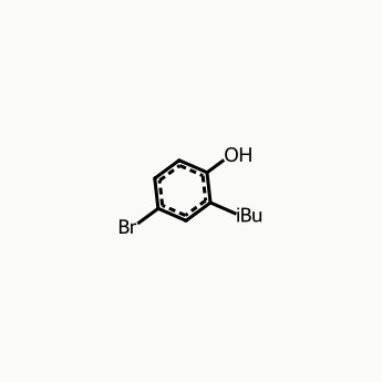 CCC(C)c1cc(Br)ccc1O